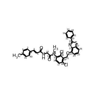 Cc1ccc(C=CC(=O)NCC(=O)N(C)c2ccc(Cl)c(COc3cccc4sc(-c5ccccc5)nc34)c2Cl)cc1